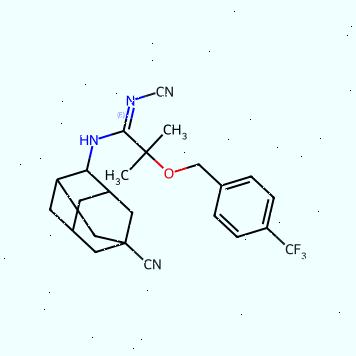 CC(C)(OCc1ccc(C(F)(F)F)cc1)/C(=N\C#N)NC1C2CC3CC1CC(C#N)(C3)C2